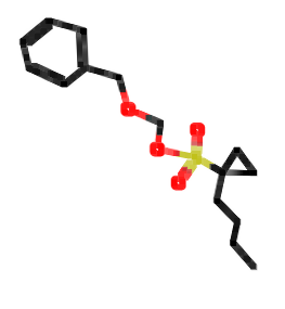 CCCCC1(S(=O)(=O)OCOCc2ccccc2)CC1